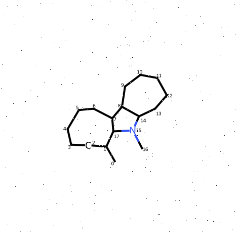 CC1CCCCCC2C3CCCCCC3N(C)C12